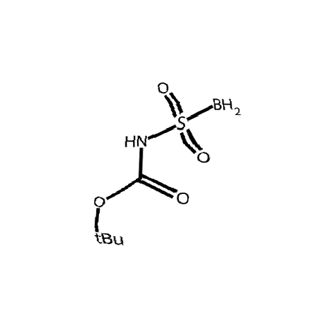 BS(=O)(=O)NC(=O)OC(C)(C)C